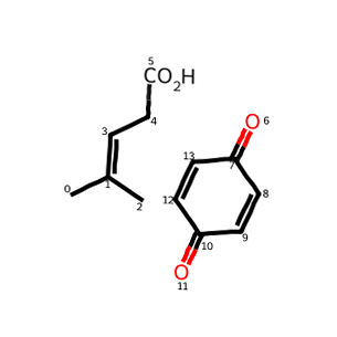 CC(C)=CCC(=O)O.O=C1C=CC(=O)C=C1